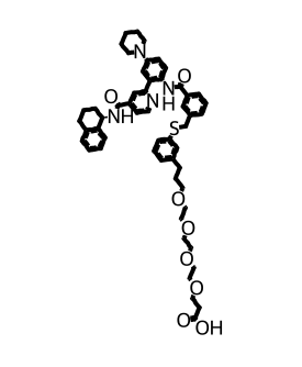 O=C(O)CCOCCOCCOCCOCCCc1cccc(SCc2cccc(C(=O)Nc3ccc(N4CCCCC4)cc3-c3cc(C(=O)N[C@H]4CCCc5ccccc54)ccn3)c2)c1